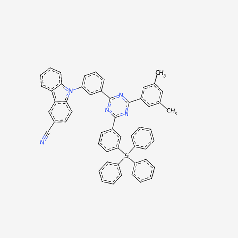 Cc1cc(C)cc(-c2nc(-c3cccc(-n4c5ccccc5c5cc(C#N)ccc54)c3)nc(-c3cccc([Si](c4ccccc4)(c4ccccc4)c4ccccc4)c3)n2)c1